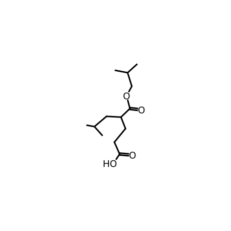 CC(C)COC(=O)C(CCC(=O)O)CC(C)C